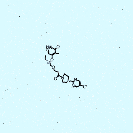 CC[C@@H](COCCC(=O)N1CCN(c2ncc(Cl)cn2)CC1)Oc1cn[nH]c(=O)c1C